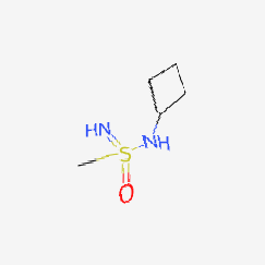 CS(=N)(=O)NC1CCC1